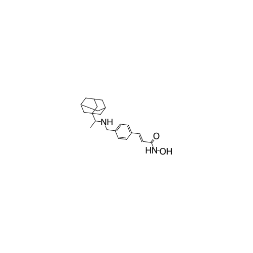 CC(NCc1ccc(C=CC(=O)NO)cc1)C12CC3CC(CC(C3)C1)C2